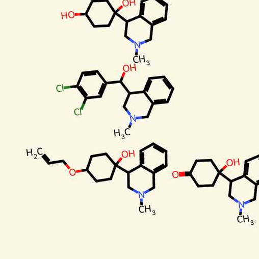 C=CCOC1CCC(O)(C2CN(C)Cc3ccccc32)CC1.CN1Cc2ccccc2C(C(O)c2ccc(Cl)c(Cl)c2)C1.CN1Cc2ccccc2C(C2(O)CCC(=O)CC2)C1.CN1Cc2ccccc2C(C2(O)CCC(O)CC2)C1